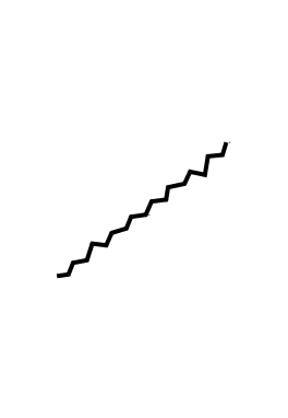 [CH2]CCCCCCCC[CH]CCCCCCCCC